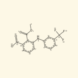 COC(=O)c1c(Nc2cccc(C(F)(F)F)c2)cccc1[N+](=O)[O-]